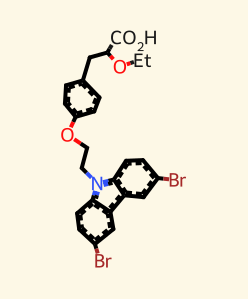 CCOC(Cc1ccc(OCCn2c3ccc(Br)cc3c3cc(Br)ccc32)cc1)C(=O)O